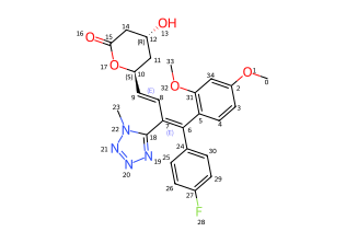 COc1ccc(/C(=C(\C=C\[C@@H]2C[C@@H](O)CC(=O)O2)c2nnnn2C)c2ccc(F)cc2)c(OC)c1